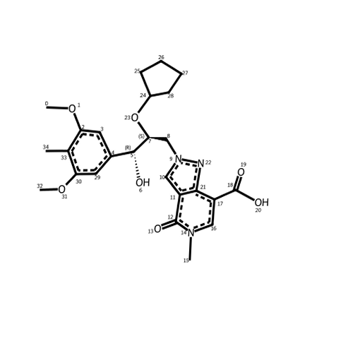 COc1cc([C@@H](O)[C@H](Cn2cc3c(=O)n(C)cc(C(=O)O)c3n2)OC2CCCC2)cc(OC)c1C